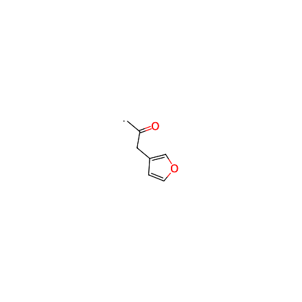 [CH2]C(=O)Cc1ccoc1